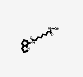 O=C(CCCCCCC(=O)Nc1cccc2cccnc12)NO